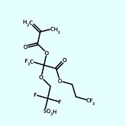 C=C(C)C(=O)OC(OCC(F)(F)S(=O)(=O)O)(C(=O)OCCC(F)(F)F)C(F)(F)F